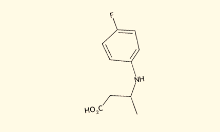 CC(CC(=O)O)Nc1ccc(F)cc1